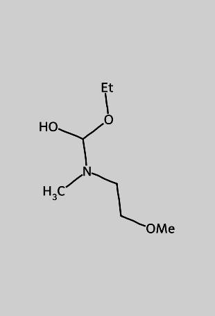 CCOC(O)N(C)CCOC